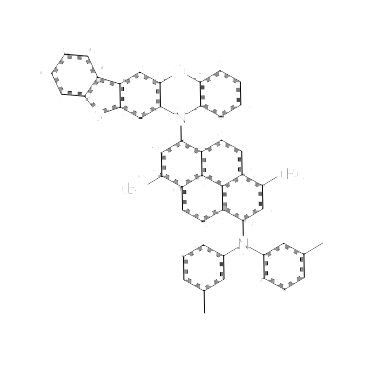 Cc1cccc(N(c2cccc(C)c2)c2cc(C(C)(C)C)c3ccc4c(N5c6ccccc6Oc6cc7c(cc65)sc5ccccc57)cc(C(C)(C)C)c5ccc2c3c45)c1